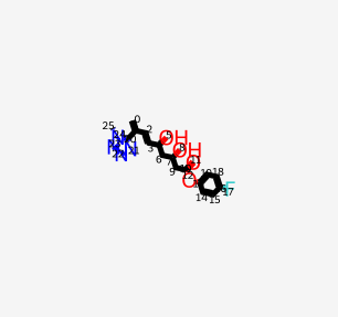 C=C(C=CC(O)CC(O)CC(=O)Oc1ccc(F)cc1)c1nnnn1C